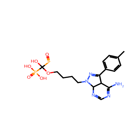 Cc1ccc(C2=NN(CCCCOC(O)(P=O)P(=O)(O)O)C3N=CN=C(N)C23)cc1